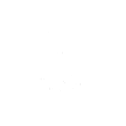 C1CCOC1.CC1(C)CC(O)CC(C)(C)[N+]1([O-])O